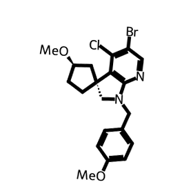 COc1ccc(CN2C[C@@]3(CC[C@@H](OC)C3)c3c2ncc(Br)c3Cl)cc1